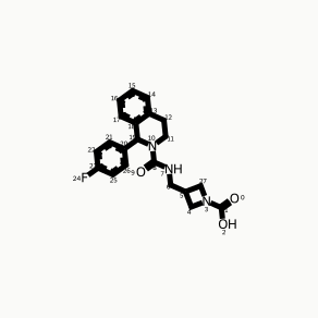 O=C(O)N1CC(CNC(=O)N2CCc3ccccc3C2c2ccc(F)cc2)C1